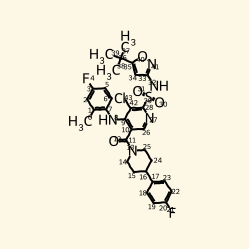 Cc1cc(F)ccc1Nc1c(C(=O)N2CCC(c3ccc(F)cc3)CC2)cnc(S(=O)(=O)Nc2cc(C(C)(C)C)on2)c1Cl